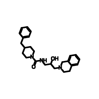 O=C(NCC(O)CN1CCc2ccccc2C1)N1CCC(Cc2ccccc2)CC1